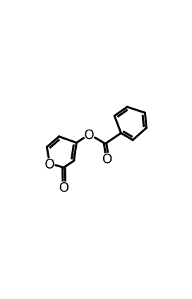 O=C(Oc1ccoc(=O)c1)c1ccccc1